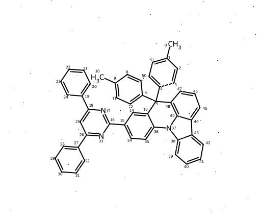 Cc1ccc(C2(c3ccc(C)cc3)c3cc(-c4nc(-c5ccccc5)cc(-c5ccccc5)n4)ccc3-n3c4ccccc4c4cccc2c43)cc1